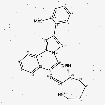 CSc1ccccc1-c1nc2c3ccccc3nc(N[C@@H]3CCCCNC3=O)n2n1